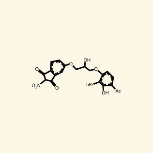 CCCc1c(OCC(O)COc2ccc3c(c2)C(=O)C([N+](=O)[O-])C3=O)ccc(C(C)=O)c1O